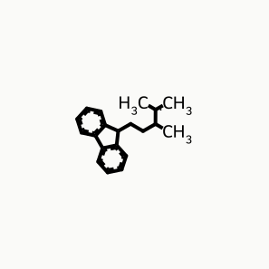 C[C](C)C(C)CCC1c2ccccc2-c2ccccc21